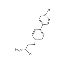 CCOC(=O)C(Cl)CCc1ccc(-c2ccc(Cl)cc2)cc1